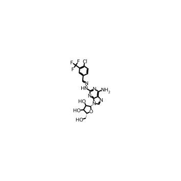 Nc1nc(N/N=C/c2ccc(Cl)c(C(F)(F)F)c2)nc2c1ncn2[C@@H]1O[C@H](CO)C(O)C1O